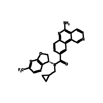 Nc1nc2ccc(C(=O)N(CC3CC3)[C@H]3COc4nc(C(F)(F)F)ccc43)cc2c2cnccc12